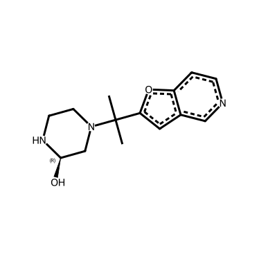 CC(C)(c1cc2cnccc2o1)N1CCN[C@H](O)C1